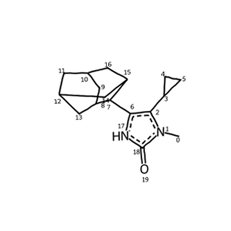 Cn1c(C2CC2)c(C2C3CC4CC(C3)CC2C4)[nH]c1=O